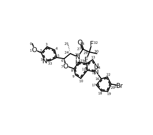 COc1ccc([C@H](Oc2ccc3c(cnn3-c3cccc(Br)c3)c2)[C@H](C)NC(=O)C(C)(F)F)cn1